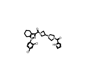 O=C(c1ccc[nH]1)N1CCN(C2CN(C(=O)c3nn(-c4ccc(Cl)cc4Cl)c4c3CCCC4)C2)CC1